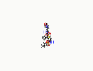 CC(C)(C)c1ccc(S(=O)(=O)Nc2ccc3sc(OC(=O)NCCCN4CCOCC4)c(-c4ccccc4)c3c2)cc1